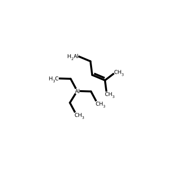 CC(C)=C[CH2][AlH2].C[CH2][Al]([CH2]C)[CH2]C